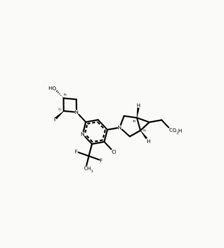 CC(F)(F)c1nc(N2C[C@@H](O)[C@@H]2I)cc(N2C[C@@H]3C(CC(=O)O)[C@@H]3C2)c1Cl